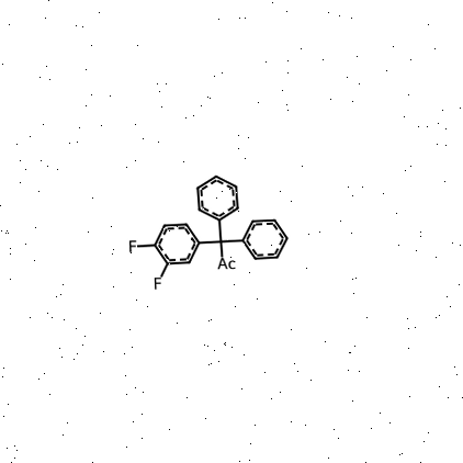 CC(=O)C(c1ccccc1)(c1ccccc1)c1ccc(F)c(F)c1